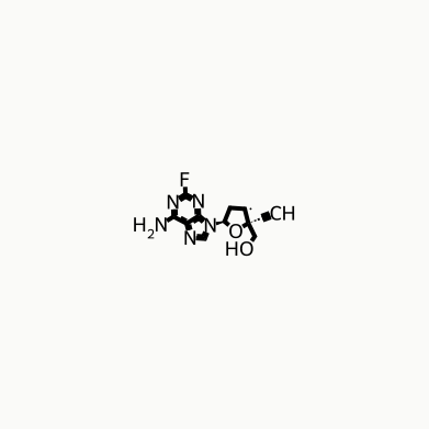 C#C[C@@]1(CO)[CH]C[C@H](n2cnc3c(N)nc(F)nc32)O1